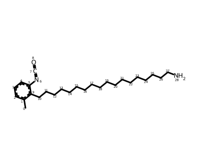 Cc1cccc(N=C=O)c1CCCCCCCCCCCCCCCCCCN